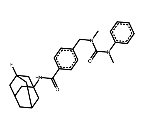 CN(Cc1ccc(C(=O)NC23CC4CC(CC(F)(C4)C2)C3)cc1)C(=O)N(C)c1ccccc1